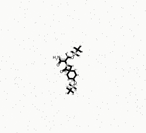 C[C@@H](O[Si](C)(C)C(C)(C)C)C(C(N)=O)N1CC2(CCC(O[Si](C)(C)C(C)(C)C)CC2)C1=O